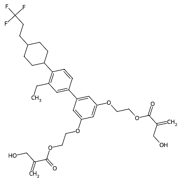 C=C(CO)C(=O)OCCOc1cc(OCCOC(=O)C(=C)CO)cc(-c2ccc(C3CCC(CCC(F)(F)F)CC3)c(CC)c2)c1